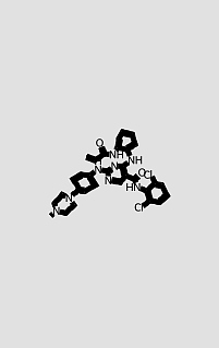 C=CC(=O)Nc1ccccc1Nc1nc(Nc2ccc(N3CCN(C)CC3)cc2)ncc1C(=O)Nc1c(Cl)cccc1Cl